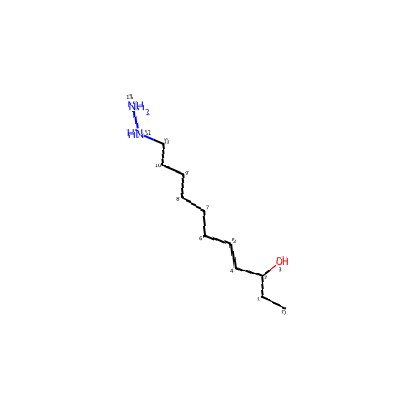 CCC(O)CCCCCCCCNN